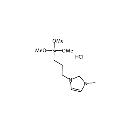 CO[Si](CCCN1C=CN(C)C1)(OC)OC.Cl